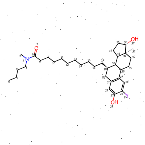 CCCCN(C)C(=O)CCCCCCCCCC[C@@H]1Cc2cc(O)c(I)cc2C2CC[C@@]3(C)C(CC[C@@H]3O)C21